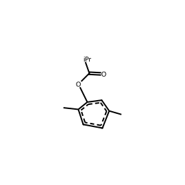 Cc1ccc(C)c(OC(=O)C(C)C)c1